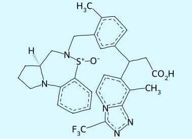 Cc1ccc(C(CC(=O)O)c2ccn3c(C(F)(F)F)nnc3c2C)cc1CN1C[C@@H]2CCCN2c2ccccc2[S+]1[O-]